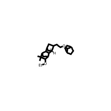 CCOC1C2CC(C3C4CC(CCOC5C6CCC5CC6)[C@@H](C4)C23)C1(C)C